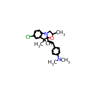 CC1CN2c3ccc(Cl)cc3C(C)(C)C2(C=Cc2ccc(N(C)C)cc2)O1